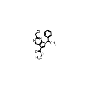 COC(=O)c1cn(C(C)c2ccccc2)c2nc(CCl)ncc12